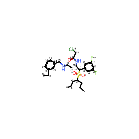 CCCC(CCC)S(=O)(=O)C(c1cc(F)cc(F)c1)[C@H]([CH]CNCc1cccc(CC)c1)NC(=O)CCl